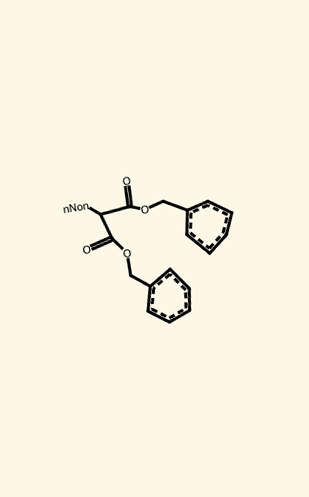 CCCCCCCCCC(C(=O)OCc1ccccc1)C(=O)OCc1ccccc1